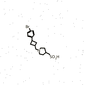 O=S(=O)(O)CC1CCN(CC2CC(c3ccc(Br)cc3)C2)CC1